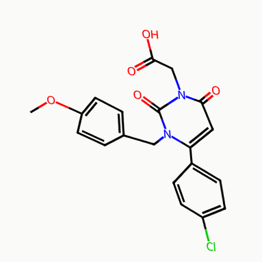 COc1ccc(Cn2c(-c3ccc(Cl)cc3)cc(=O)n(CC(=O)O)c2=O)cc1